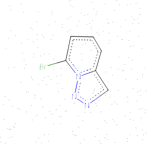 Brc1cccc2cnnn12